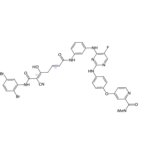 CNC(=O)c1cc(Oc2ccc(Nc3ncc(F)c(Nc4cccc(NC(=O)/C=C/C/C(O)=C(\C#N)C(=O)Nc5cc(Br)ccc5Br)c4)n3)cc2)ccn1